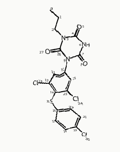 CCCn1c(=O)[nH]c(=O)n(-c2cc(Cl)c(Sc3ccc(Cl)cc3)c(Cl)c2)c1=O